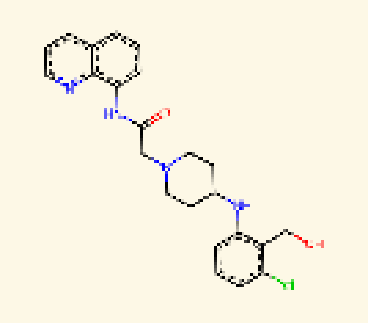 O=C(CN1CCC(Nc2cccc(Cl)c2CO)CC1)Nc1cccc2cccnc12